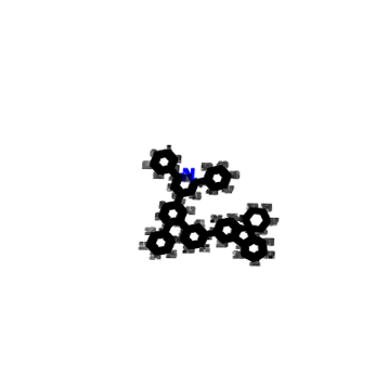 c1ccc(-c2cc(-c3ccc(-c4ccccc4)c(-c4cccc(-c5ccc6c(c5)-c5ccccc5C65CCCCC5)c4)c3)cc(-c3ccccc3)n2)cc1